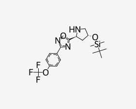 CC(C)(C)[Si](C)(C)O[C@H]1CN[C@H](c2nc(-c3ccc(OC(F)(F)F)cc3)no2)C1